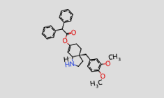 COc1ccc(C[C@@]23CCN[C@H]2C=C(OC(=O)C(c2ccccc2)c2ccccc2)CC3)cc1OC